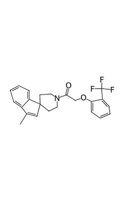 CC1=CC2(CCN(C(=O)COc3ccccc3C(F)(F)F)CC2)c2ccccc21